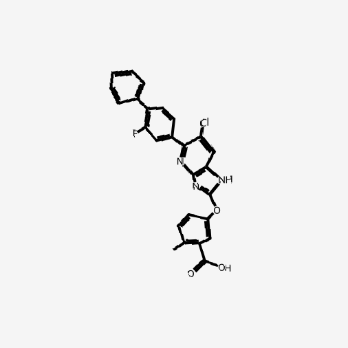 Cc1ccc(Oc2nc3nc(-c4ccc(-c5ccccc5)c(F)c4)c(Cl)cc3[nH]2)cc1C(=O)O